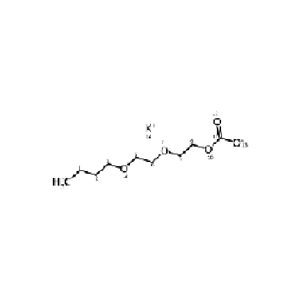 CCCCOCCOCCOC(=O)[O-].[K+]